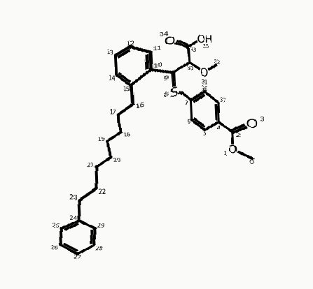 COC(=O)c1ccc(SC(c2ccccc2CCCCCCCCc2ccccc2)C(OC)C(=O)O)cc1